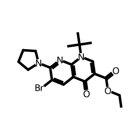 CCOC(=O)c1cn(C(C)(C)C)c2nc(N3CCCC3)c(Br)cc2c1=O